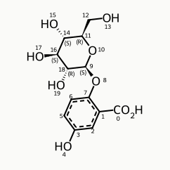 O=C(O)c1cc(O)ccc1O[C@@H]1O[C@H](CO)[C@@H](O)[C@H](O)[C@H]1O